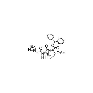 CC(=O)OC1CS[C@@H]2[C@H](NC(=O)Cn3cnnn3)C(=O)N2[C@H]1C(=O)OC(c1ccccc1)c1ccccc1